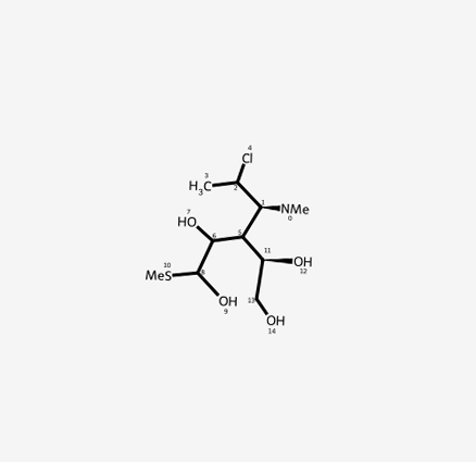 CN[C@H](C(C)Cl)C(C(O)C(O)SC)[C@@H](O)CO